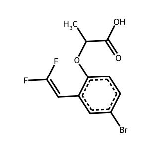 CC(Oc1ccc(Br)cc1C=C(F)F)C(=O)O